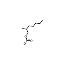 CCCCCC(C)CO[N+](=O)[O-]